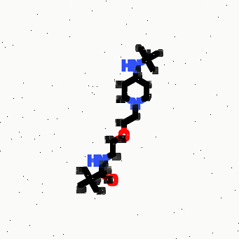 CC(C)(C)NC1CCN(CCOCCNC(=O)C(C)(C)C)CC1